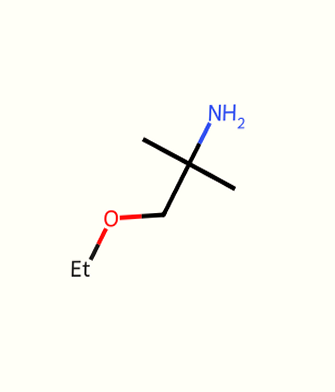 CCOCC(C)(C)N